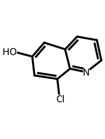 Oc1cc(Cl)c2ncccc2c1